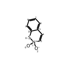 [O-][N+]1([O-])C=Cc2ccccc2S1